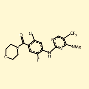 CNc1nc(Nc2cc(Cl)c(C(=O)N3CCOCC3)cc2F)ncc1C(F)(F)F